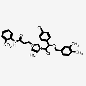 Cc1ccc(COC(c2ccc(Cl)cc2)C(Cl)N2C=CN(CCC(=O)Nc3ccccc3[N+](=O)[O-])C2)cc1C.Cl